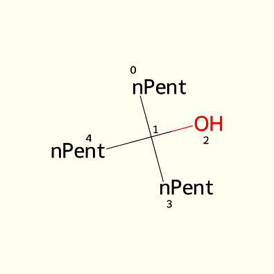 CCCCCC(O)(CCCCC)CCCCC